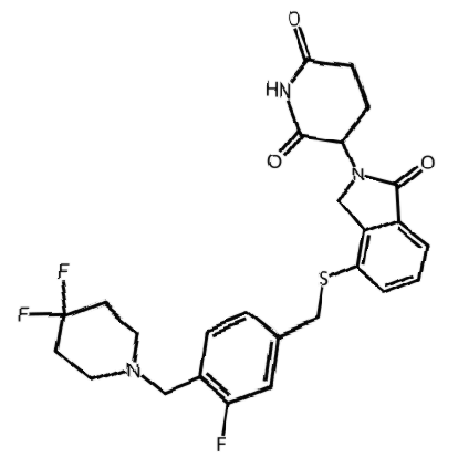 O=C1CCC(N2Cc3c(SCc4ccc(CN5CCC(F)(F)CC5)c(F)c4)cccc3C2=O)C(=O)N1